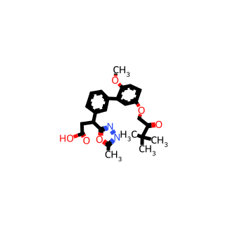 COc1ccc(OCC(=O)C(C)(C)C)cc1-c1cccc(C(CC(=O)O)c2nnc(C)o2)c1